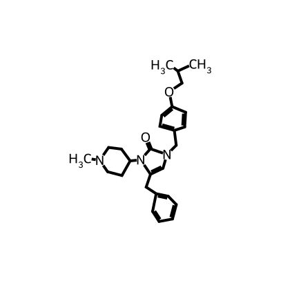 CC(C)COc1ccc(Cn2cc(Cc3ccccc3)n(C3CCN(C)CC3)c2=O)cc1